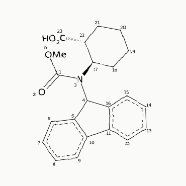 COC(=O)N(C1c2ccccc2-c2ccccc21)[C@@H]1CCCC[C@H]1C(=O)O